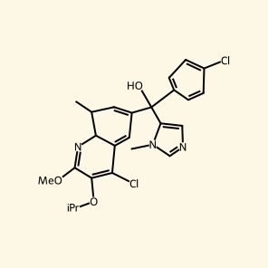 COC1=NC2C(=CC(C(O)(c3ccc(Cl)cc3)c3cncn3C)=CC2C)C(Cl)=C1OC(C)C